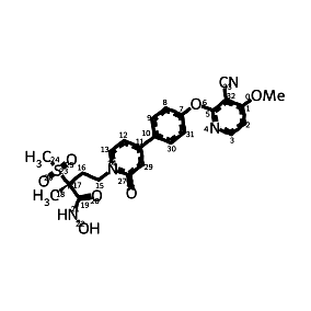 COc1ccnc(Oc2ccc(-c3ccn(CC[C@](C)(C(=O)NO)S(C)(=O)=O)c(=O)c3)cc2)c1C#N